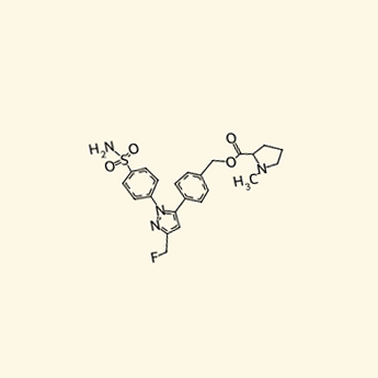 CN1CCCC1C(=O)OCc1ccc(-c2cc(CF)nn2-c2ccc(S(N)(=O)=O)cc2)cc1